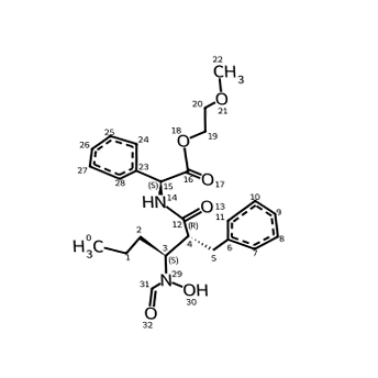 CCC[C@@H]([C@@H](Cc1ccccc1)C(=O)N[C@H](C(=O)OCCOC)c1ccccc1)N(O)C=O